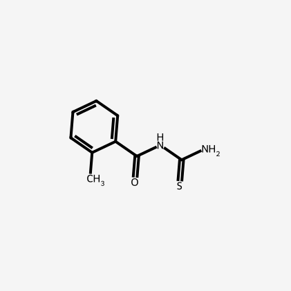 Cc1ccccc1C(=O)NC(N)=S